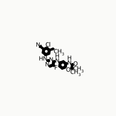 CCc1cc(Nc2ncc(F)c(Nc3ccc4c(c3)NC(=O)C(C)(C)O4)n2)cc(C#N)c1Cl